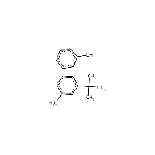 Cc1cccc(C(C)(C)C)c1.Oc1ccccc1